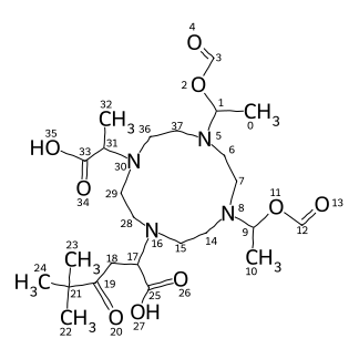 CC(OC=O)N1CCN(C(C)OC=O)CCN(C(CC(=O)C(C)(C)C)C(=O)O)CCN(C(C)C(=O)O)CC1